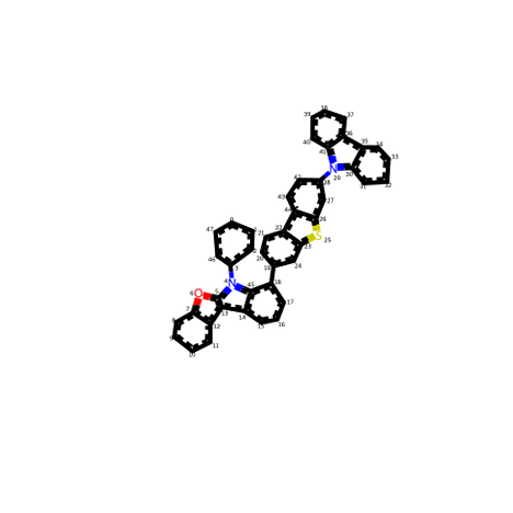 c1ccc(-n2c3oc4ccccc4c3c3cccc(-c4ccc5c(c4)sc4cc(-n6c7ccccc7c7ccccc76)ccc45)c32)cc1